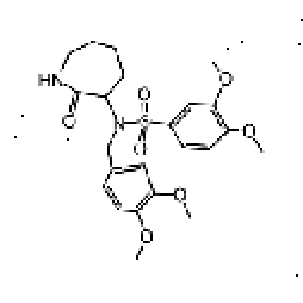 COc1ccc(CN(C2CCCCNC2=O)S(=O)(=O)c2ccc(OC)c(OC)c2)cc1OC